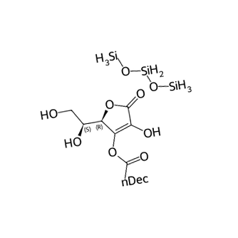 CCCCCCCCCCC(=O)OC1=C(O)C(=O)O[C@@H]1[C@@H](O)CO.[SiH3]O[SiH2]O[SiH3]